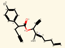 C#CCC(C(=O)OC(C#C)/C(=C/CCC=C)CC)c1ccc(CC)cc1